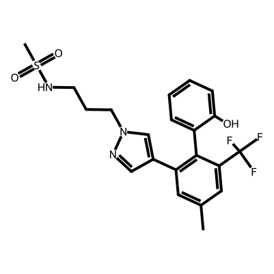 Cc1cc(-c2cnn(CCCNS(C)(=O)=O)c2)c(-c2ccccc2O)c(C(F)(F)F)c1